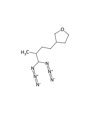 CC(CCC1CCOC1)C(N=[N+]=[N-])N=[N+]=[N-]